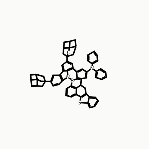 c1ccc(N(c2ccccc2)c2cc3c4c(c2)C2Cc5c(sc6ccccc56)-c5cccc(c52)B4n2c4ccc(C56CC7CC8CC(C5)C87C6)cc4c4cc(C56CC7CC8CC(C5)C87C6)cc-3c42)cc1